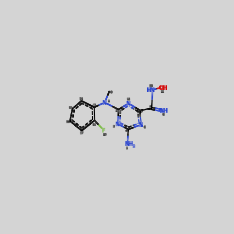 CN(c1nc(N)nc(C(=N)NO)n1)c1ccccc1F